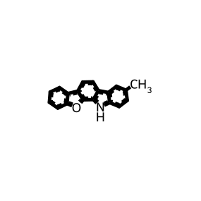 Cc1ccc2[nH]c3c(ccc4c5ccccc5oc43)c2c1